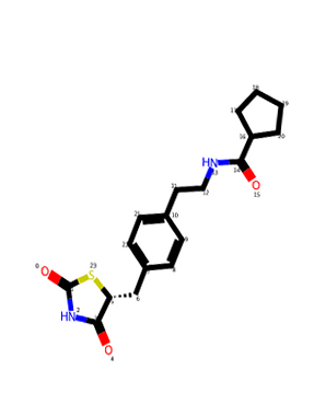 O=C1NC(=O)[C@@H](Cc2ccc(CCNC(=O)C3CCCC3)cc2)S1